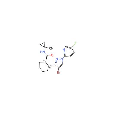 N#CC1(NC(=O)[C@@H]2CCCC[C@H]2c2nn(-c3ccc(F)cn3)cc2Br)CC1